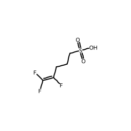 O=S(=O)(O)CCCC(F)=C(F)F